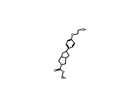 CC(C)(C)OC(=O)N1CC2CC(c3ccc(OCCO)cc3)CC2C1